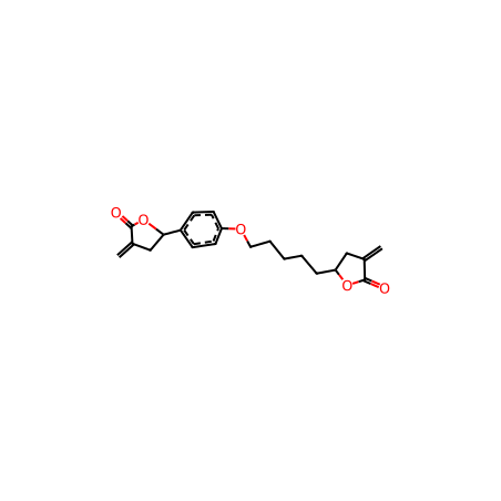 C=C1CC(CCCCCOc2ccc(C3CC(=C)C(=O)O3)cc2)OC1=O